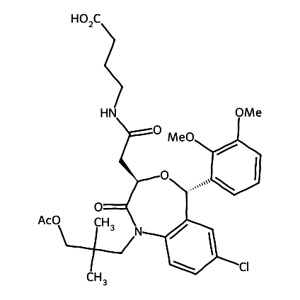 COc1cccc([C@H]2O[C@H](CC(=O)NCCCC(=O)O)C(=O)N(CC(C)(C)COC(C)=O)c3ccc(Cl)cc32)c1OC